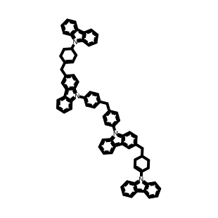 C1=C(Cc2ccc3c(c2)c2ccccc2n3-c2ccc(Cc3ccc(-n4c5ccccc5c5cc(CC6CC=C(n7c8ccccc8c8ccccc87)CC6)ccc54)cc3)cc2)CCC(n2c3ccccc3c3ccccc32)C1